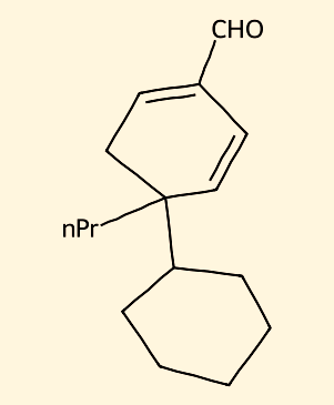 CCCC1(C2CCCCC2)C=CC(C=O)=CC1